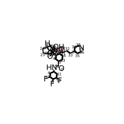 O=C(Nc1cc(F)c(F)c(F)c1)c1ccc(Cl)c(S(=O)(=O)[C@H]2C3CC[C@H]2C[C@](O)(COC/C=C/c2ccncc2)C3)c1